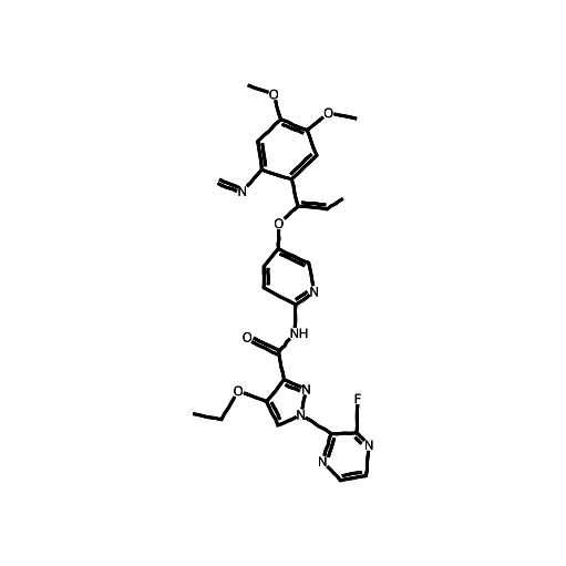 C=Nc1cc(OC)c(OC)cc1/C(=C\C)Oc1ccc(NC(=O)c2nn(-c3nccnc3F)cc2OCC)nc1